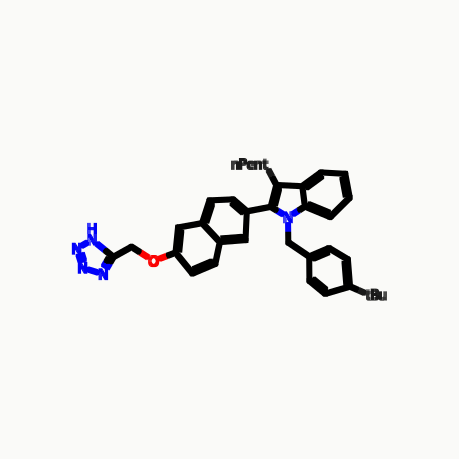 CCCCCc1c(-c2ccc3cc(OCc4nnn[nH]4)ccc3c2)n(Cc2ccc(C(C)(C)C)cc2)c2ccccc12